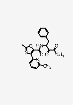 Cc1nc(-c2cccc(C(F)(F)F)n2)c(C(=O)NC(Cc2ccccc2)C(=O)C(N)=O)o1